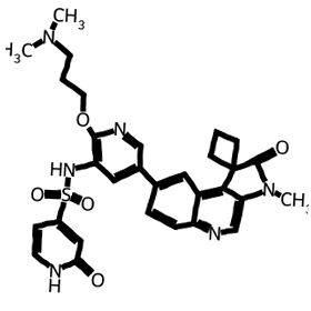 CN(C)CCCOc1ncc(-c2ccc3ncc4c(c3c2)C2(CCC2)C(=O)N4C)cc1NS(=O)(=O)c1cc[nH]c(=O)c1